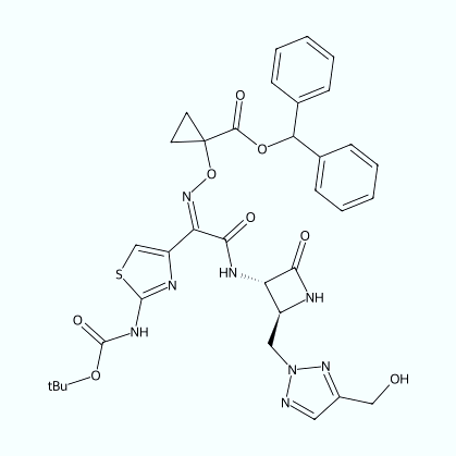 CC(C)(C)OC(=O)Nc1nc(C(=NOC2(C(=O)OC(c3ccccc3)c3ccccc3)CC2)C(=O)N[C@@H]2C(=O)N[C@H]2Cn2ncc(CO)n2)cs1